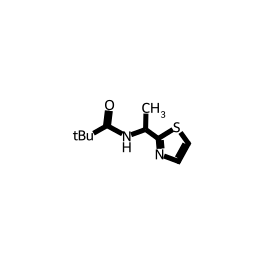 CC(NC(=O)C(C)(C)C)c1nccs1